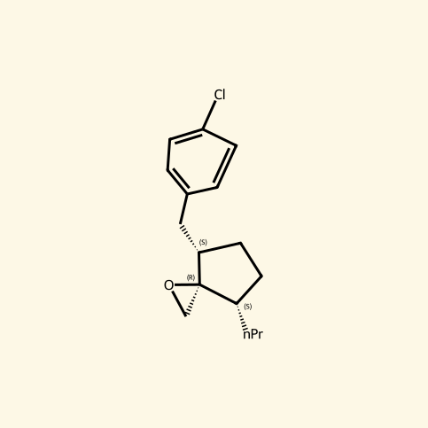 CCC[C@H]1CC[C@@H](Cc2ccc(Cl)cc2)[C@@]12CO2